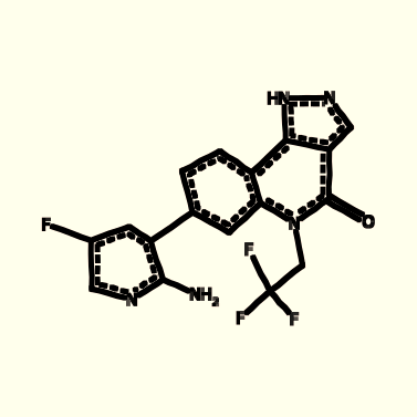 Nc1ncc(F)cc1-c1ccc2c3[nH]ncc3c(=O)n(CC(F)(F)F)c2c1